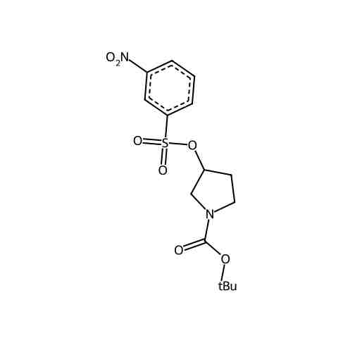 CC(C)(C)OC(=O)N1CCC(OS(=O)(=O)c2cccc([N+](=O)[O-])c2)C1